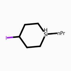 CCC[SiH]1CCC(I)CC1